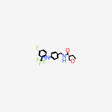 O=C(NCc1ccc(Nc2ccc(F)cc2C(F)(F)F)cc1)[C@@H]1CCOC1